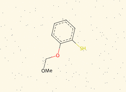 COCOc1ccccc1S